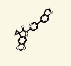 O=C(Nc1ccc(-c2ccc3c(c2)CC=N3)cn1)C1(c2ccc3c(c2)OCO3)CC1